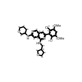 COc1cc(OC)c(Cl)c(-c2cc3cnc(NC4CCCOC4)cc3c(NCC3CCOC3)n2)c1Cl